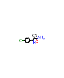 N#Cc1c(-c2ccc(Cl)cc2)noc1N